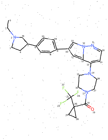 CCN1CCC(c2ccc(-c3cc4c(N5CCN(C(=O)C6(C(F)(F)F)CC6)CC5)ccnn4c3)cc2)C1